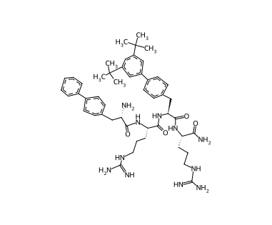 CC(C)(C)c1cc(-c2ccc(C[C@H](NC(=O)[C@H](CCCNC(=N)N)NC(=O)[C@@H](N)Cc3ccc(-c4ccccc4)cc3)C(=O)N[C@@H](CCCNC(=N)N)C(N)=O)cc2)cc(C(C)(C)C)c1